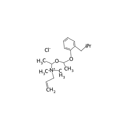 C=CC[N+](C)(C)C(C)OC(C)Oc1ccccc1CC(C)C.[Cl-]